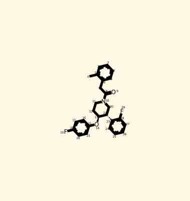 Cc1ccccc1CC(=O)N1CC[C@H](Oc2ccc(F)cc2)[C@@H](c2ccccc2F)C1